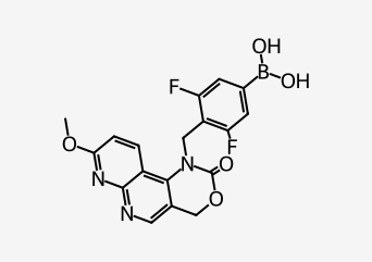 COc1ccc2c3c(cnc2n1)COC(=O)N3Cc1c(F)cc(B(O)O)cc1F